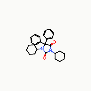 O=C1N(C2CCCCC2)C(=O)C(c2ccccc2)(c2ccccc2)N1C1CCCCC1